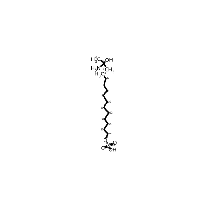 CC(C)(N)O.CCCCCCCCCCCCOS(=O)(=O)O